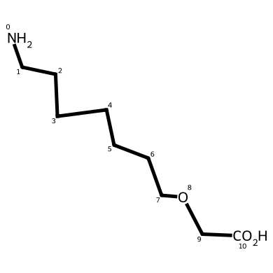 NCCCCCCCOCC(=O)O